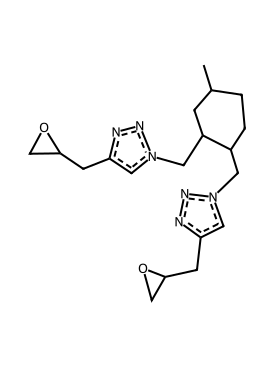 CC1CCC(Cn2cc(CC3CO3)nn2)C(Cn2cc(CC3CO3)nn2)C1